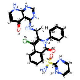 C[C@H](Nc1ncnc2[nH]ccc(=O)c12)c1c(Cl)c2cccc([S@](=N)(=O)c3ncccn3)c2c(=O)n1-c1ccccc1